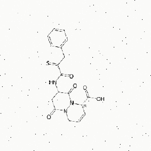 O=C(NC1CC(=O)N2CC=C[C@@H](C(=O)O)N2C1=O)C(=S)Cc1ccccc1